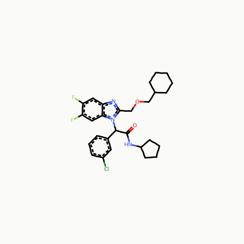 O=C(NC1CCCC1)C(c1cccc(Cl)c1)n1c(COCC2CCCCC2)nc2cc(F)c(F)cc21